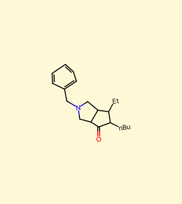 CCCCC1C(=O)C2CN(Cc3ccccc3)CC2C1CC